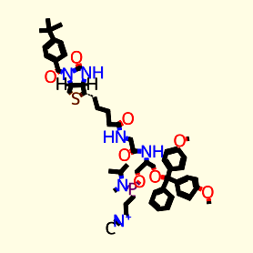 [C-]#[N+]CCCP(OCC(COC(c1ccccc1)(c1ccc(OC)cc1)c1ccc(OC)cc1)NC(=O)CNC(=O)CCCC[C@@H]1SC[C@H]2[C@@H]1NC(=O)N2C(=O)c1ccc(C(C)(C)C)cc1)N(C)C(C)C